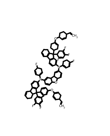 C=CC1C=CC(Oc2ccc(C3(c4cc(F)c(F)cc4F)c4cc(N(C5=CCC(F)C=C5)C5=CC6C(C=C5)OC5C=CC(N(C7=CC=C(F)CC7)c7ccc8c(c7)C(C7CC=C(OC9C=CC(C=C)CC9)CC7)(C7CC(F)=C(F)C=C7F)C7=C8C=CCC7)=CC56)ccc4C4C=CCCC43)cc2)=CC1